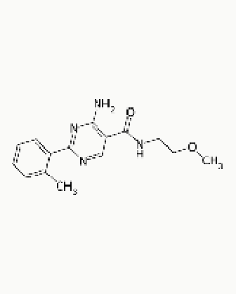 COCCNC(=O)c1cnc(-c2ccccc2C)nc1N